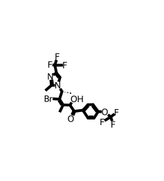 C/C(=C(\Br)[C@@H](C)n1cc(C(F)(F)F)nc1C)C(O)C(=O)c1ccc(OC(F)(F)F)cc1